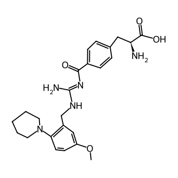 COc1ccc(N2CCCCC2)c(CN/C(N)=N/C(=O)c2ccc(C[C@H](N)C(=O)O)cc2)c1